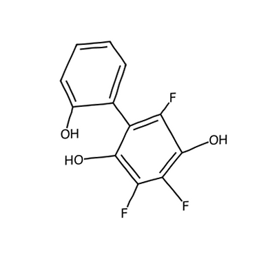 Oc1ccccc1-c1c(O)c(F)c(F)c(O)c1F